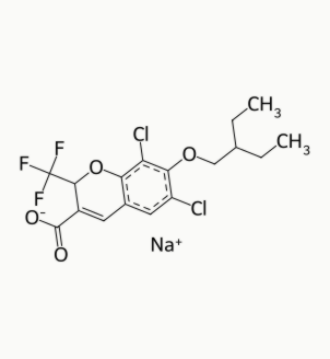 CCC(CC)COc1c(Cl)cc2c(c1Cl)OC(C(F)(F)F)C(C(=O)[O-])=C2.[Na+]